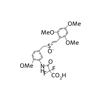 COc1cc(OC)c(C=C[S+]([O-])Cc2ccc(OC)c(NC(=O)C(F)(F)C(=O)O)c2)c(OC)c1